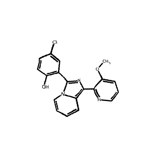 COc1cccnc1-c1nc(-c2cc(Cl)ccc2O)n2ccccc12